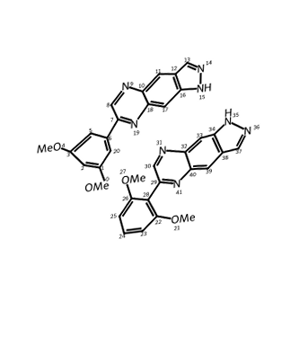 COc1cc(OC)cc(-c2cnc3cc4cn[nH]c4cc3n2)c1.COc1cccc(OC)c1-c1cnc2cc3[nH]ncc3cc2n1